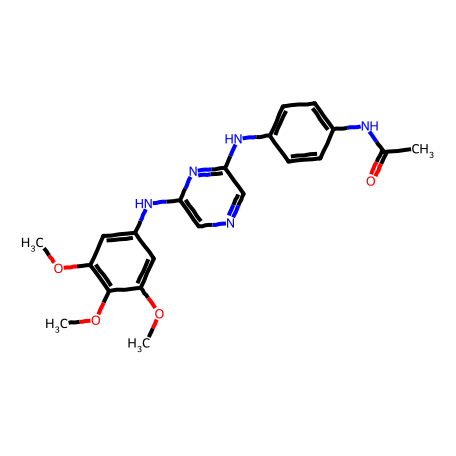 COc1cc(Nc2cncc(Nc3ccc(NC(C)=O)cc3)n2)cc(OC)c1OC